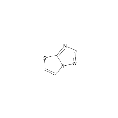 c1nc2sccn2n1